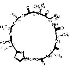 CC[C@H](C)[C@@H]1NC(=O)[C@H](C)NC(=O)[C@H](C)NC(=O)CC[C@H]2CSC(=N2)[C@@H](C)[C@@H](O)C[C@H](C)C[C@@H](C(C)(C)C)OC(=O)[C@H](C)N(C)C1=O